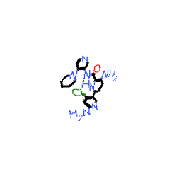 Nc1cc(Cl)c(-c2ccc(N)c(C(=O)Nc3cnccc3N3CCCCC3)n2)cn1